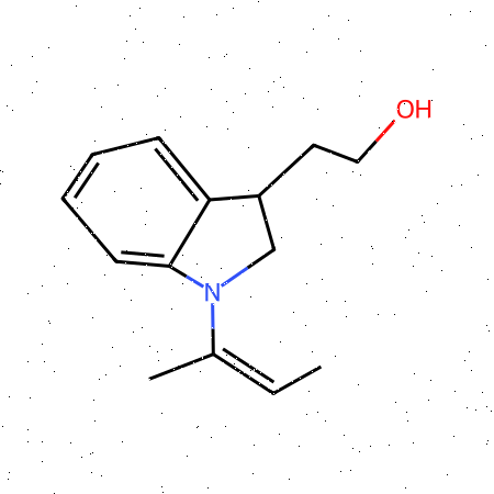 C/C=C(/C)N1CC(CCO)c2ccccc21